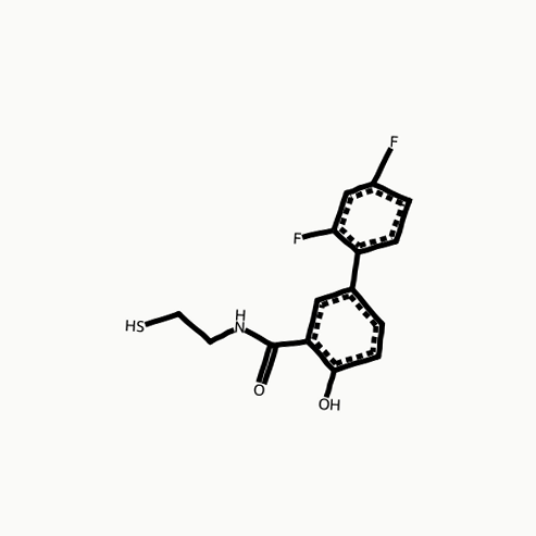 O=C(NCCS)c1cc(-c2ccc(F)cc2F)ccc1O